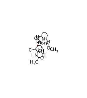 C#CCN1C[C@H](COC)[C@H]2CCC[C@@H](C1=O)N2S(=O)(=O)c1cc(Cl)c(NC(C)=O)c(Cl)c1